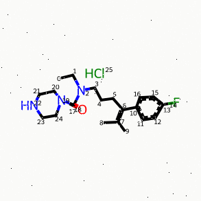 CCN(CCCC(=C(C)C)c1ccc(F)cc1)C(=O)N1CCNCC1.Cl